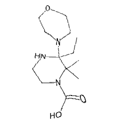 CCC1(N2CCOCC2)NCCN(C(=O)O)C1(C)C